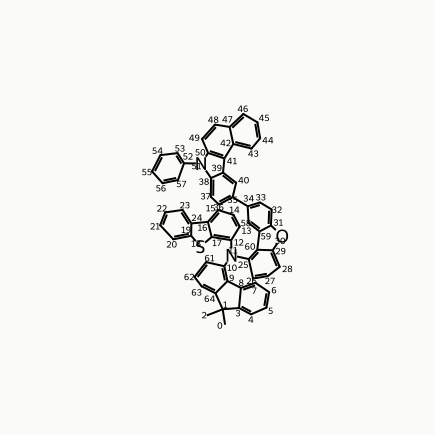 CC1(C)c2ccccc2-c2c(N(c3cccc4c3sc3ccccc34)c3cccc4oc5ccc(-c6ccc7c(c6)c6c8ccccc8ccc6n7-c6ccccc6)cc5c34)cccc21